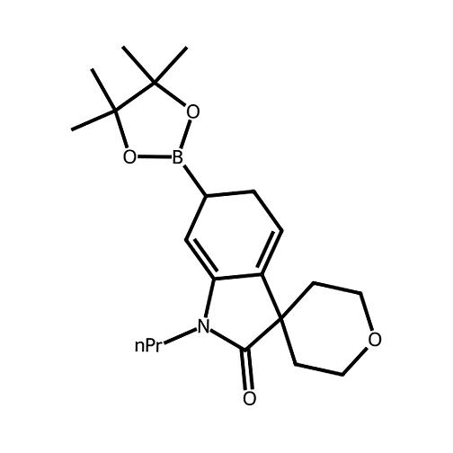 CCCN1C(=O)C2(CCOCC2)C2=CCC(B3OC(C)(C)C(C)(C)O3)C=C21